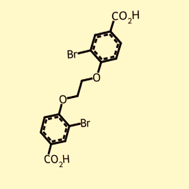 O=C(O)c1ccc(OCCOc2ccc(C(=O)O)cc2Br)c(Br)c1